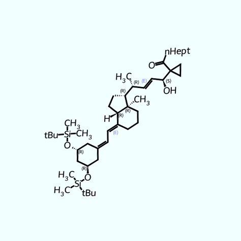 CCCCCCCC(=O)C1([C@@H](O)/C=C/[C@@H](C)[C@H]2CC[C@H]3/C(=C/C=C4C[C@@H](O[Si](C)(C)C(C)(C)C)C[C@H](O[Si](C)(C)C(C)(C)C)C4)CCC[C@]23C)CC1